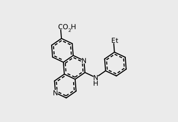 CCc1cccc(Nc2nc3cc(C(=O)O)ccc3c3cnccc23)c1